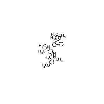 C=C(N[C@H](C)c1ccc(OC)cc1)c1ccc2c(c1)c(C)c(C)n2Cc1ccc(-c2ccccc2C(=O)OC(C)(C)C)cc1